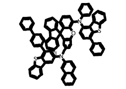 Clc1ccc2c(c1)C1(c3cc(N(c4ccc5ccccc5c4)c4cc(-c5ccc(-c6ccccc6)cc5)c5sc6ccccc6c5c4)ccc3Oc3c(N(c4ccccc4)c4ccc(-c5ccccc5)c5sc6ccccc6c45)cccc31)c1ccccc1-2